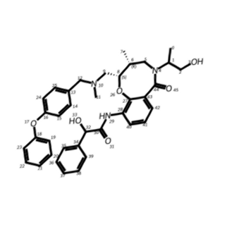 CC(CO)N1C[C@@H](C)[C@@H](CN(C)Cc2ccc(Oc3ccccc3)cc2)Oc2c(NC(=O)C(O)c3ccccc3)cccc2C1=O